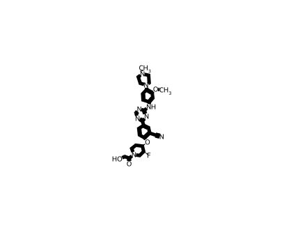 COc1cc(Nc2ncnc(-c3ccc(O[C@H]4CCN(C(=O)CO)C[C@H]4F)c(C#N)c3)n2)ccc1N1CCN(C)CC1